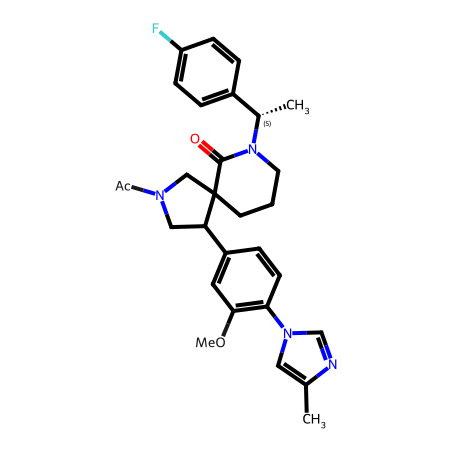 COc1cc(C2CN(C(C)=O)CC23CCCN([C@@H](C)c2ccc(F)cc2)C3=O)ccc1-n1cnc(C)c1